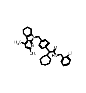 Cc1cc(C)c2c3c(n(Cc4ccc(C(C(=O)NCc5ccccc5Cl)C5CCCCCC5)cc4)c2n1)CCCC3